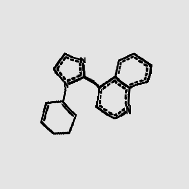 C1=CC(n2ccnc2-c2ccnc3ccccc23)=CCC1